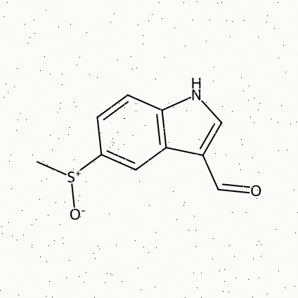 C[S+]([O-])c1ccc2[nH]cc(C=O)c2c1